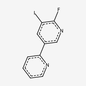 Fc1ncc(-c2ccccn2)cc1I